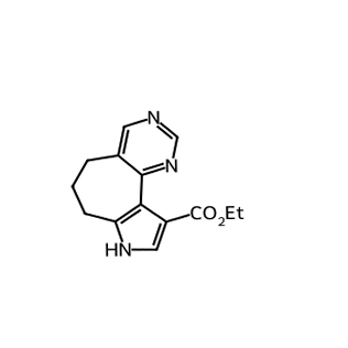 CCOC(=O)c1c[nH]c2c1-c1ncncc1CCC2